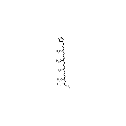 C/C(=C\CC/C(C)=C/CCc1ccsc1)CC/C=C(\C)CC/C=C(\C)CC(C)C